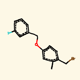 Cc1cc(OCc2cccc(F)c2)ccc1CBr